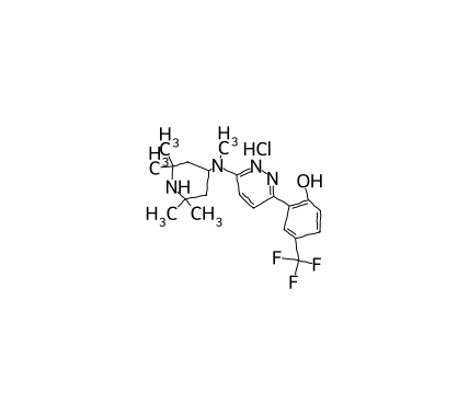 CN(c1ccc(-c2cc(C(F)(F)F)ccc2O)nn1)C1CC(C)(C)NC(C)(C)C1.Cl